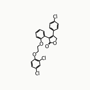 O=C1OCC(c2ccc(Cl)cc2)=C1c1ccccc1OCCOc1ccc(Cl)cc1Cl